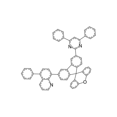 c1ccc(-c2cc(-c3ccccc3)nc(-c3ccc4c(c3)-c3cc(-c5ccc(-c6ccccc6)c6cccnc56)ccc3C43c4ccccc4Oc4ccccc43)n2)cc1